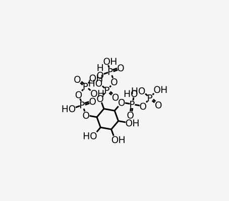 O=P(O)(O)OP(=O)(O)OC1C(O)C(O)C(O)C(OP(=O)(O)OP(=O)(O)O)C1OP(=O)(O)OP(=O)(O)O